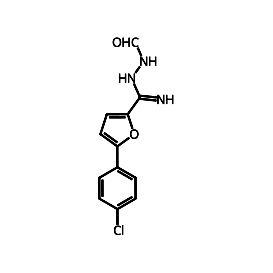 N=C(NNC=O)c1ccc(-c2ccc(Cl)cc2)o1